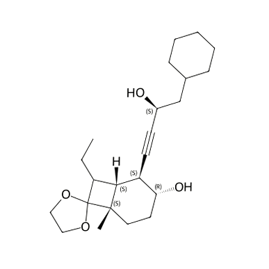 CCC1[C@@H]2[C@@H](C#C[C@@H](O)CC3CCCCC3)[C@H](O)CC[C@]2(C)C12OCCO2